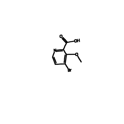 COc1c(Br)ccnc1C(=O)O